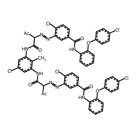 CC(=O)C(N=Nc1cc(C(=O)Nc2ccccc2Oc2ccc(Cl)cc2)ccc1Cl)C(=O)Nc1cc(Cl)cc(NC(=O)C(N=Nc2cc(C(=O)Nc3ccccc3Oc3ccc(Cl)cc3)ccc2Cl)C(C)=O)c1C